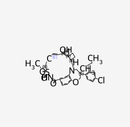 CCCc1cc(Cl)ccc1[C@]1(C)COc2ccc3cc2N(C[C@@H]2CC[C@H]2[C@@H](O)/C=C/CC[C@@H](CC)S(=O)(=O)NC3=O)C1